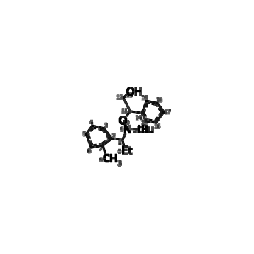 CCC(c1ccccc1C)N(OC(CO)c1ccccc1)C(C)(C)C